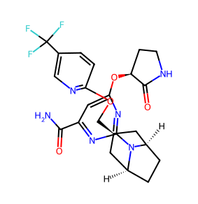 NC(=O)c1cc(O[C@H]2CCNC2=O)nc(N2[C@@H]3CC[C@H]2C[C@@H](COc2ccc(C(F)(F)F)cn2)C3)n1